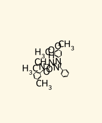 COc1ccc(-n2cc(-c3ccccc3)nc2NC(=O)CN(C(=O)c2cccc(C)c2)C(C)C)cc1OC